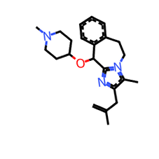 C=C(C)Cc1nc2n(c1C)CCc1ccccc1C2OC1CCN(C)CC1